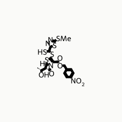 CSc1nnc(C(S)SC2=C(C(=O)OCc3ccc([N+](=O)[O-])cc3)N3C(=O)[C@H]([C@@H](C)O)[C@H]3S2)s1